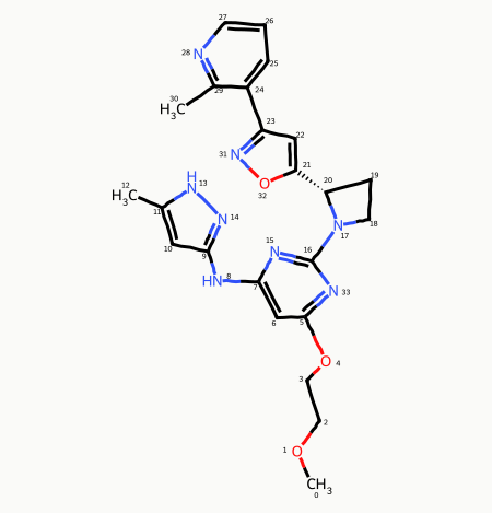 COCCOc1cc(Nc2cc(C)[nH]n2)nc(N2CC[C@H]2c2cc(-c3cccnc3C)no2)n1